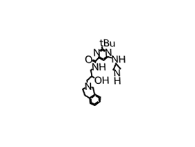 CC(C)(C)c1nc(NC2CNC2)cc(C(=O)NCC(O)CN2CCc3ccccc3C2)n1